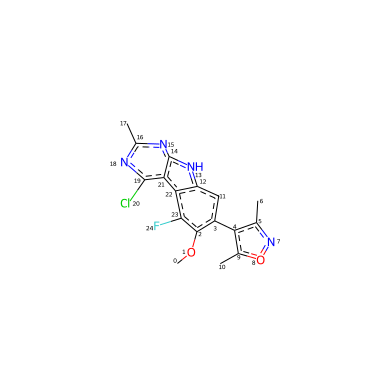 COc1c(-c2c(C)noc2C)cc2[nH]c3nc(C)nc(Cl)c3c2c1F